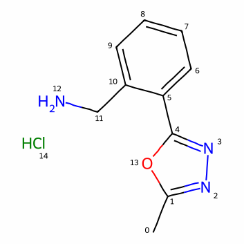 Cc1nnc(-c2ccccc2CN)o1.Cl